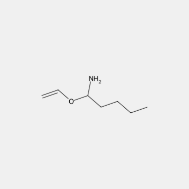 C=COC(N)CCCC